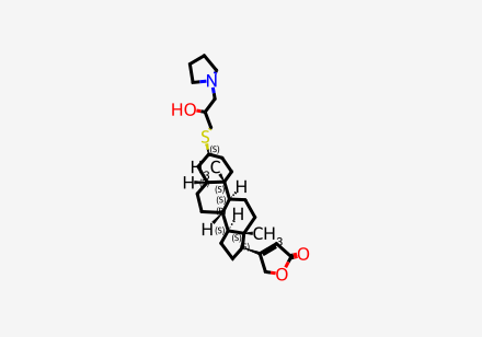 C[C@]12CC[C@H](SCC(O)CN3CCCC3)C[C@H]1CC[C@@H]1[C@@H]2CC[C@]2(C)[C@@H](C3=CC(=O)OC3)CC[C@@H]12